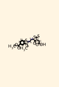 CCN1/C(=C/C=C2/SC(=S)N(CC(=O)O)C2=O)Sc2ccc(C(=O)OC)cc21